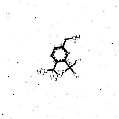 CC(C)c1ccc([CH]O)cc1C(F)(F)F